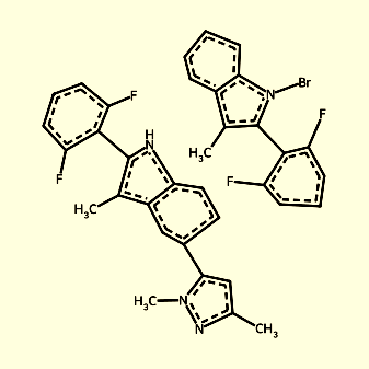 Cc1c(-c2c(F)cccc2F)n(Br)c2ccccc12.Cc1cc(-c2ccc3[nH]c(-c4c(F)cccc4F)c(C)c3c2)n(C)n1